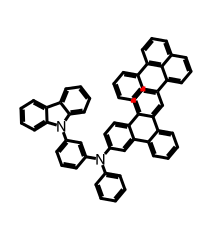 c1ccc(-c2cccc3cccc(-c4ccc5c6ccc(N(c7ccccc7)c7cccc(-n8c9ccccc9c9ccccc98)c7)cc6c6ccccc6c5c4)c23)cc1